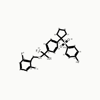 CCC(OCc1c(F)cccc1F)(c1ccc(C2(S(=O)(=O)c3ccc(F)cc3)CCCC2)cc1)C(F)(F)F